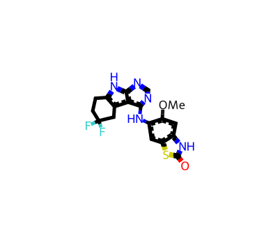 COc1cc2[nH]c(=O)sc2cc1Nc1ncnc2[nH]c3c(c12)CC(F)(F)CC3